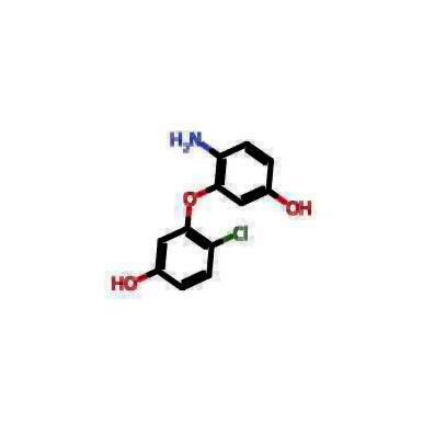 Nc1ccc(O)cc1Oc1cc(O)ccc1Cl